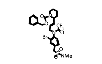 CNS(=O)(=O)Cc1ccc(N(CC=CC2CCCCN2C(=O)OCc2ccccc2)C(=O)C(F)(F)F)c(Br)c1